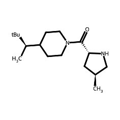 C[C@@H]1CN[C@@H](C(=O)N2CCC([C@@H](C)C(C)(C)C)CC2)C1